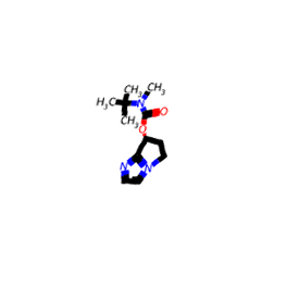 CN(C(=O)O[C@H]1CCn2ccnc21)C(C)(C)C